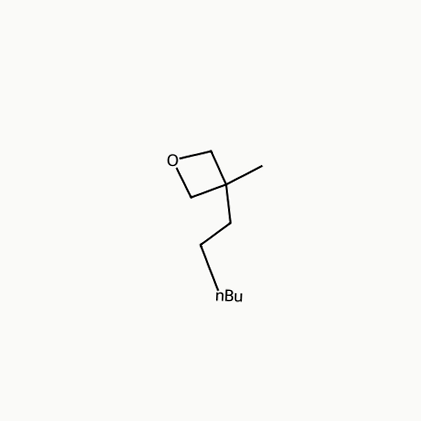 CCCCCCC1(C)COC1